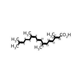 CC(C)=CCCC(C)=CC=CC(C)=CC=C/C(C)=C/C(=O)O